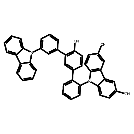 N#Cc1ccc2c(c1)c1cc(C#N)ccc1n2-c1ccccc1-c1ccc(C#N)c(-c2cccc(-n3c4ccccc4c4ccccc43)c2)c1